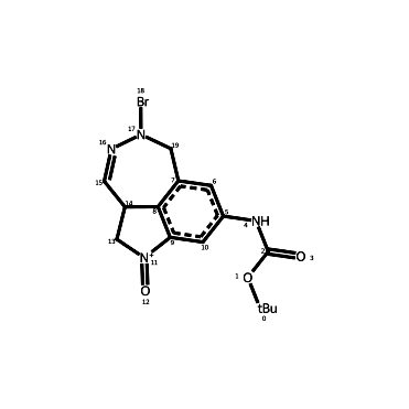 CC(C)(C)OC(=O)Nc1cc2c3c(c1)[N+](=O)CC3C=NN(Br)C2